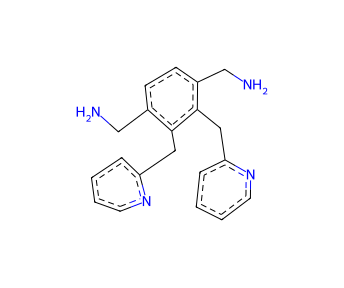 NCc1ccc(CN)c(Cc2ccccn2)c1Cc1ccccn1